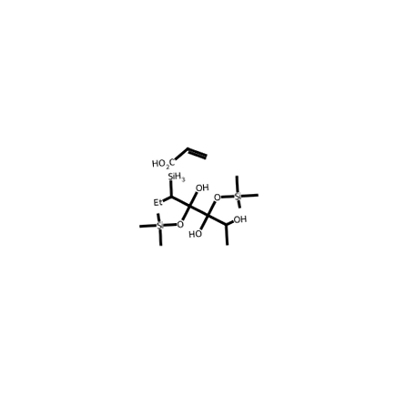 C=CC(=O)O.CCC([SiH3])C(O)(O[Si](C)(C)C)C(O)(O[Si](C)(C)C)C(C)O